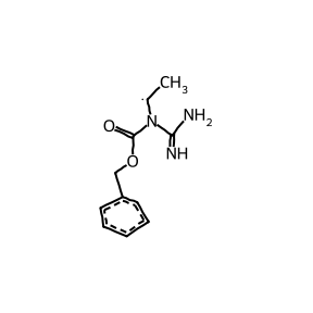 C[CH]N(C(=N)N)C(=O)OCc1ccccc1